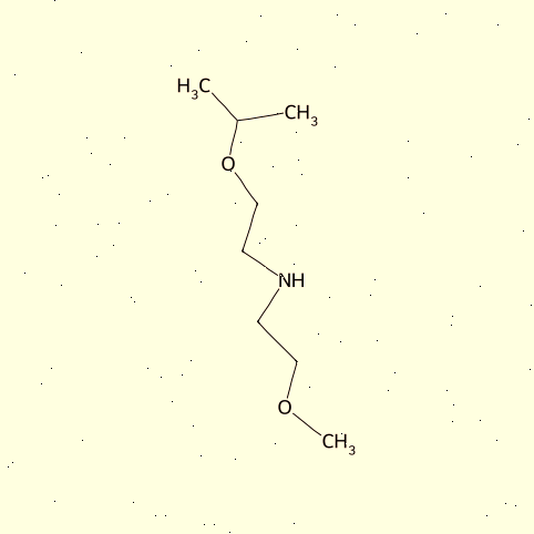 COCCNCCOC(C)C